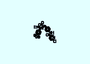 CCC1OC(=O)N(Cc2ccc(NC(=O)c3ccc(Cl)nn3)cc2)N=C1c1ccc(S(C)(=O)=O)cc1